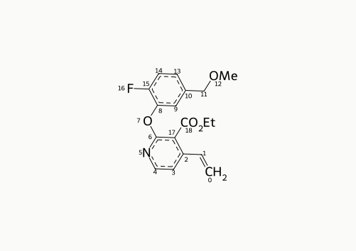 C=Cc1ccnc(Oc2cc(COC)ccc2F)c1C(=O)OCC